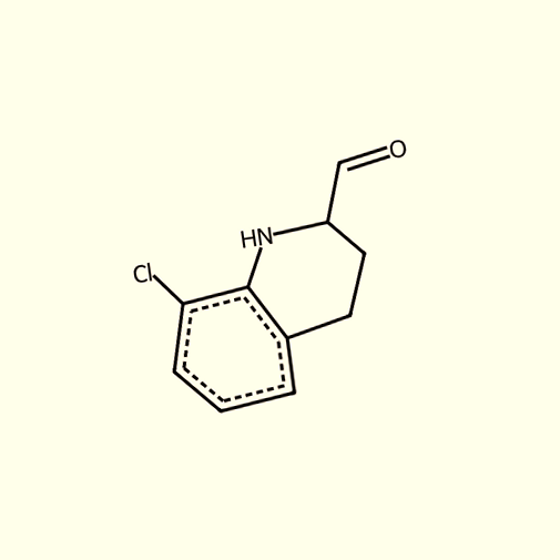 O=CC1CCc2cccc(Cl)c2N1